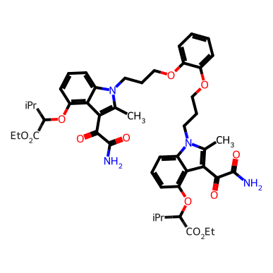 CCOC(=O)C(Oc1cccc2c1c(C(=O)C(N)=O)c(C)n2CCCOc1ccccc1OCCCn1c(C)c(C(=O)C(N)=O)c2c(OC(C(=O)OCC)C(C)C)cccc21)C(C)C